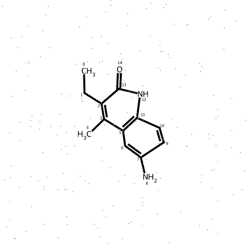 CCc1c(C)c2cc(N)ccc2[nH]c1=O